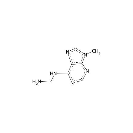 Cn1cnc2c(NCN)ncnc21